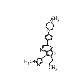 CCCc1oc2cc(-c3ccc(N4CCN(C)CC4)cc3)cnc2c1-c1cnn(C)c1